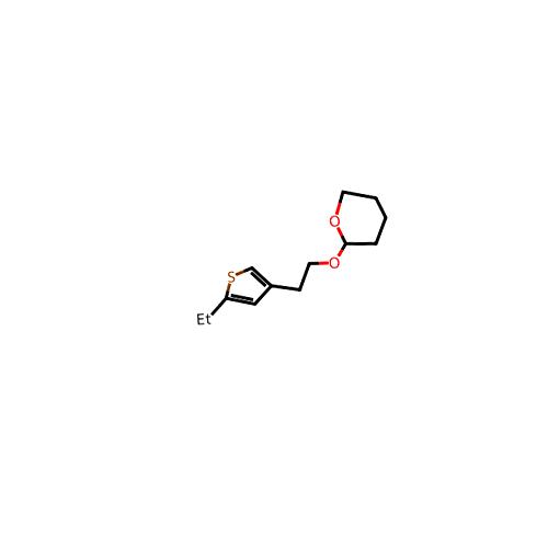 CCc1cc(CCOC2CCCCO2)cs1